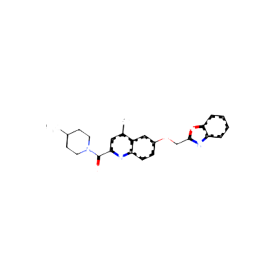 CC(=O)c1cc(C(=O)N2CCC(C)CC2)nc2ccc(OCc3nc4ccccc4o3)cc12